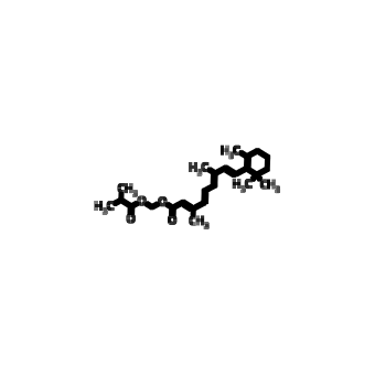 CC(C=CC1=C(C)CCCC1(C)C)=CC=CC(C)=CC(=O)OCOC(=O)C(C)C